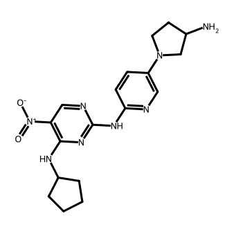 NC1CCN(c2ccc(Nc3ncc([N+](=O)[O-])c(NC4CCCC4)n3)nc2)C1